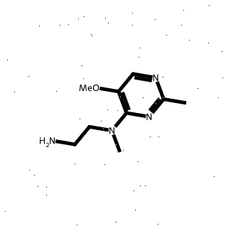 COc1cnc(C)nc1N(C)CCN